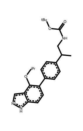 CC(C)Oc1c(-c2ccc(C(C)CNC(=O)OC(C)(C)C)cc2)ccc2[nH]ncc12